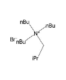 CCCC[N+](CCCC)(CCCC)CC(C)C.[Br-]